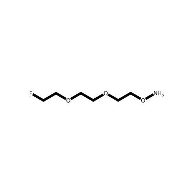 NOCCOCCOCCF